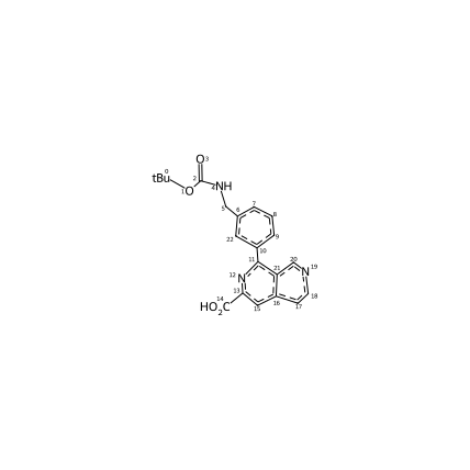 CC(C)(C)OC(=O)NCc1cccc(-c2nc(C(=O)O)cc3ccncc23)c1